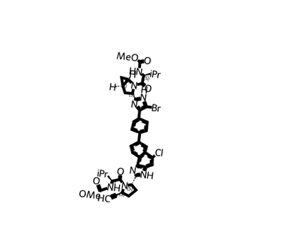 C#C[C@@H]1CC[C@@H](c2nc3c(cc(Cl)c4cc(-c5ccc(-c6nc([C@@H]7C[C@H]8C[C@H]8N7C(=O)[C@@H](NC(=O)OC)C(C)C)[nH]c6Br)cc5)ccc43)[nH]2)N1C(=O)[C@@H](NC(=O)OC)C(C)C